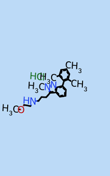 COCCNCCCc1c2cccc(-c3c(C)cc(C)cc3C)c2nn1C.Cl